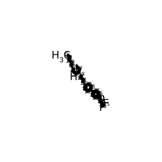 CCCCC[Si@H]1CC[C@H](CCCC[C@H]2CC[C@H](c3ccc(OCC(F)F)cc3)CC2)CC1